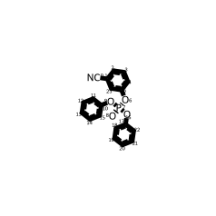 N#Cc1cccc(OP(=O)(Oc2ccccc2)Oc2ccccc2)c1